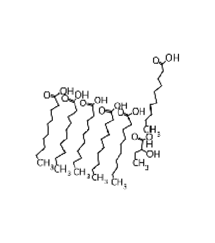 CCC(O)C(=O)O.CCCCCCCCCC(=O)O.CCCCCCCCCC(=O)O.CCCCCCCCCC(=O)O.CCCCCCCCCC(=O)O.CCCCCCCCCC(=O)O.CCCCCCCCCC(=O)O